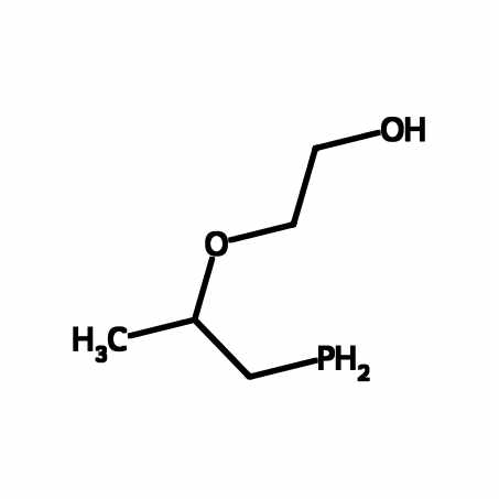 CC(CP)OCCO